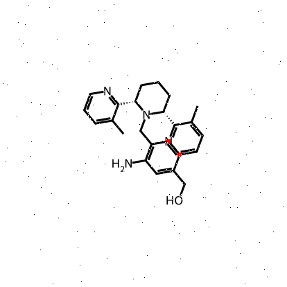 Cc1cccnc1[C@H]1CCC[C@@H](c2ncccc2C)N1Cc1ccc(CO)cc1N